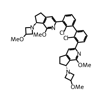 COc1nc(-c2cccc(-c3cccc(-c4cc5c(c(OC)n4)[C@@H](N4CC(OC)C4)CC5)c3Cl)c2Cl)cc2c1[C@H](N1CC(OC)C1)CC2